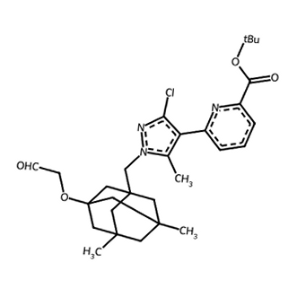 Cc1c(-c2cccc(C(=O)OC(C)(C)C)n2)c(Cl)nn1CC12CC3(C)CC(C)(C1)CC(OCC=O)(C3)C2